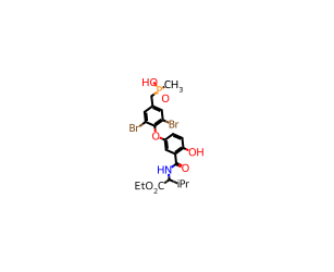 CCOC(=O)C(NC(=O)c1cc(Oc2c(Br)cc(CP(C)(=O)O)cc2Br)ccc1O)C(C)C